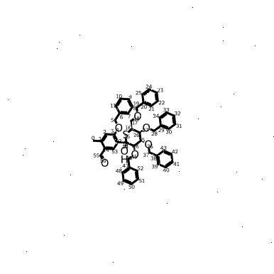 Cc1cc(OCc2ccccc2)c([C@]2(O)S[C@@H](COCc3ccccc3)[C@@H](OCc3ccccc3)[C@H](OCc3ccccc3)[C@H]2OCc2ccccc2)cc1C=O